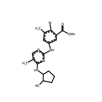 COC(=O)c1cc(Nc2ncc(C)c(NC3CCCC3C#N)n2)cc(C)c1Br